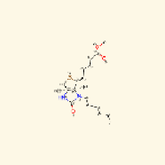 CCCCCCN1C(=O)N[C@H]2CS[C@@H](CCCCC(=O)OC)[C@H]21